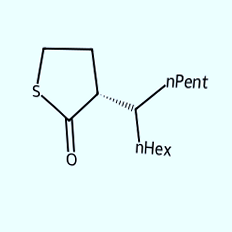 CCCCCCC(CCCCC)[C@H]1CCSC1=O